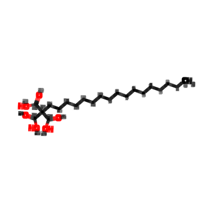 CCCCCCCCCCCCCCCCCC(C(=O)O)(C(=O)O)C(=O)O